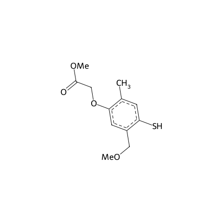 COCc1cc(OCC(=O)OC)c(C)cc1S